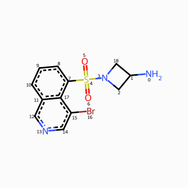 NC1CN(S(=O)(=O)c2cccc3cncc(Br)c23)C1